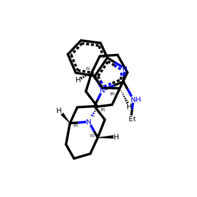 CCNc1nc2ccccc2n1C1C[C@H]2CCC[C@@H](C1)N2[C@H]1C[C@@H]2CCC[C@@H](C2)C1